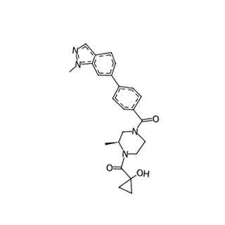 C[C@H]1CN(C(=O)c2ccc(-c3ccc4cnn(C)c4c3)cc2)CCN1C(=O)C1(O)CC1